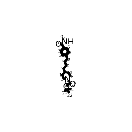 CNC(=O)c1ccc(CCCCC2CCN(C(=O)OC(C)(C)C)CC2)cc1